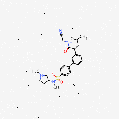 CC(C)CC(C(=O)NCC#N)c1cccc(-c2ccc(S(=O)(=O)N(C)C3CCN(C)C3)cc2)c1